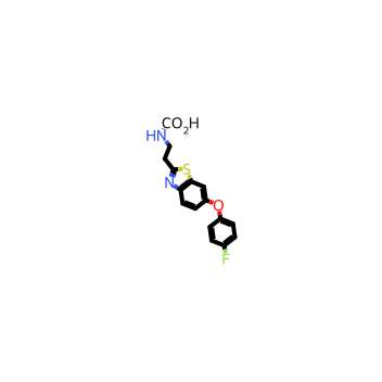 O=C(O)NCCc1nc2ccc(Oc3ccc(F)cc3)cc2s1